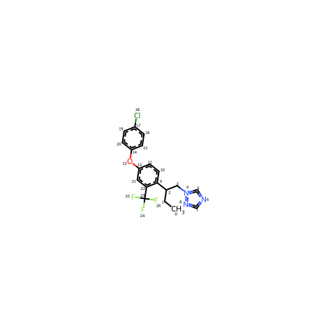 CCC(Cn1cncn1)c1ccc(Oc2ccc(Cl)cc2)cc1C(F)(F)F